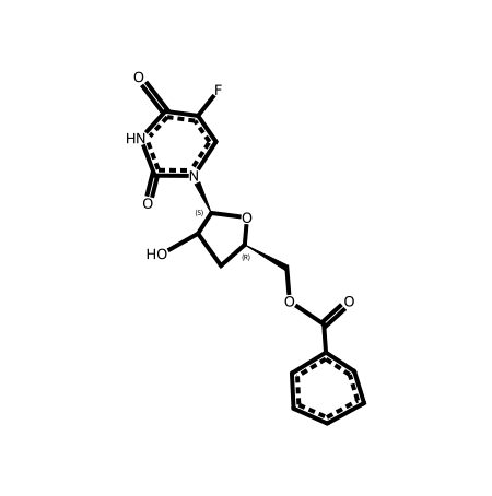 O=C(OC[C@H]1CC(O)[C@@H](n2cc(F)c(=O)[nH]c2=O)O1)c1ccccc1